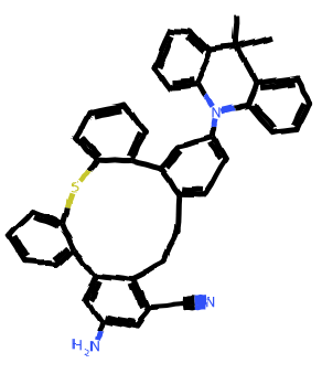 CC1(C)c2ccccc2N(c2ccc3c(c2)-c2ccccc2Sc2ccccc2-c2cc(N)cc(C#N)c2CC3)c2ccccc21